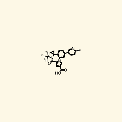 [2H]C([2H])([2H])N1C(=O)c2cc(C(=O)O)cn2-c2cc(-c3ccc(F)nc3)ccc2C12CC2